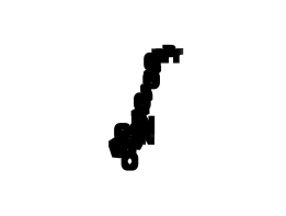 CCCOCCOCCOCCn1cc(CN2C(=O)C=CC2=O)nn1